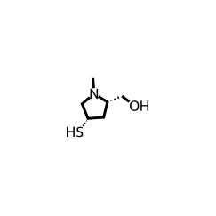 CN1C[C@@H](S)C[C@H]1CO